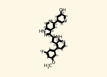 COc1cc(F)cc(-c2ccnc3[nH]c(-c4n[nH]c5cnc(-c6cncc(O)c6)cc45)cc23)c1